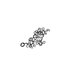 CC[C@H](C)[C@@H]([C@@H](CC(=O)N1CCC[C@H]1[C@H](OC)[C@@H](C)C(=O)N[C@@H](Cc1ccccc1)C(=O)O)OC)N(C)C(=O)[C@@H](NC(=O)[C@H](C(C)C)N(C)C(=O)CCCCN1C(=O)C=CC1=O)C(C)C